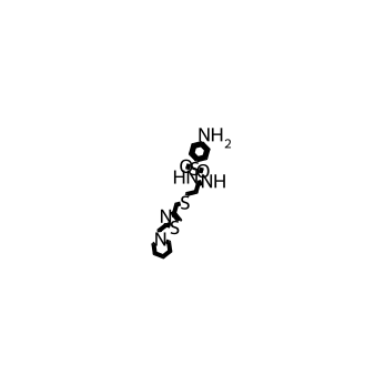 N=C(CCSCc1csc(CN2CCCCC2)n1)NS(=O)(=O)c1ccc(N)cc1